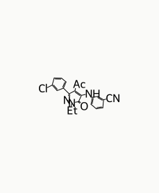 CCn1nc(-c2cccc(Cl)c2)c(C(C)=O)c(Nc2cccc(C#N)c2)c1=O